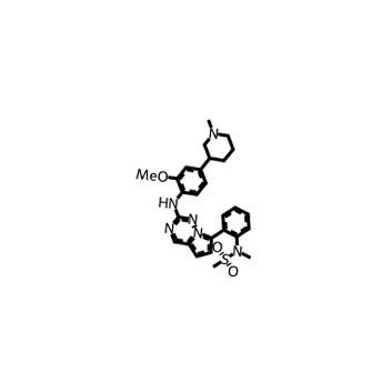 COc1cc(C2CCCN(C)C2)ccc1Nc1ncc2ccc(-c3ccccc3N(C)S(C)(=O)=O)n2n1